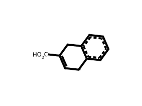 O=C(O)C1=C[CH]c2ccccc2C1